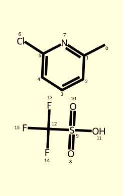 Cc1cccc(Cl)n1.O=S(=O)(O)C(F)(F)F